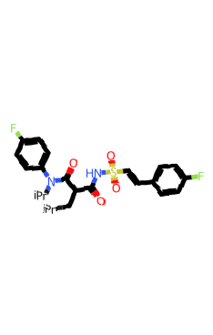 CC(C)CC(C(=O)NS(=O)(=O)C=Cc1ccc(F)cc1)C(=O)N(c1ccc(F)cc1)C(C)C